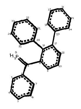 [PH3]=C(c1ccccc1)c1cccc(-c2ccccc2)c1-c1ccccc1